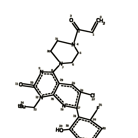 C=CC(=O)N1CCN(c2nc(=O)n(CC(C)(C)C)c3nc(-c4c(O)cccc4F)c(Cl)cc23)CC1